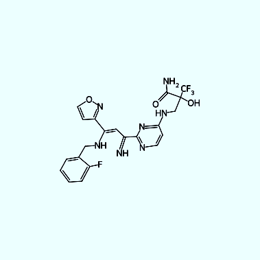 N=C(/C=C(\NCc1ccccc1F)c1ccon1)c1nccc(NCC(O)(C(N)=O)C(F)(F)F)n1